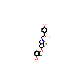 COc1cccc(O[C@H]2C[C@@H]3CN(CC(O)c4ccc(O)cc4)C[C@@H]3C2)c1F